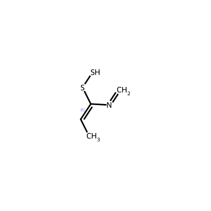 C=N/C(=C\C)SS